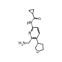 NCc1nc(NC(=O)C2CC2)ccc1C1CCOC1